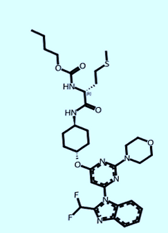 CCCCOC(=O)N[C@H](CCSC)C(=O)N[C@H]1CC[C@H](Oc2cc(-n3c(C(F)F)nc4ccccc43)nc(N3CCOCC3)n2)CC1